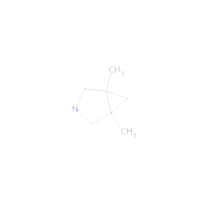 CC12C[N]CC1(C)C2